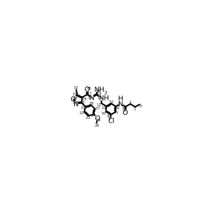 CCCC(=O)Nc1cc(Cl)cc(CNC(N)=NC(=O)c2c(-c3ccc(OC)cc3)noc2C)c1